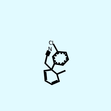 CC1C=CC=CC1(CC#N)c1cccc(Cl)c1